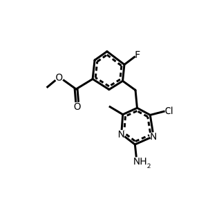 COC(=O)c1ccc(F)c(Cc2c(C)nc(N)nc2Cl)c1